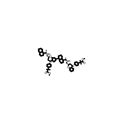 COC(=O)C(C)(C)c1ccc([C@H]2C[C@H](CN[C@H](C)c3cccc4c(-c5ccc6c(c5)O[C@@H](CN[C@H](C)c5cccc7ccccc57)C[C@H]6c5ccc(C(C)(C)C(=O)OC)cc5)cccc34)Oc3ccccc32)cc1